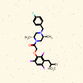 CCC(Cc1c(I)cc(I)c(OCC(=O)N2C[C@H](C)N(Cc3ccc(F)cc3)C[C@H]2C)c1I)C(=O)O